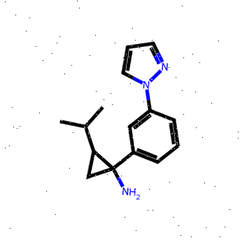 CC(C)C1CC1(N)c1cccc(-n2cccn2)c1